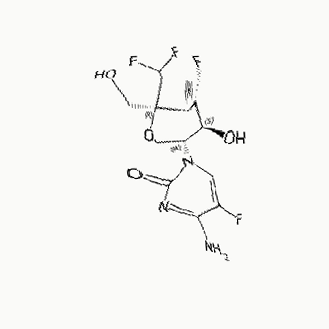 Nc1nc(=O)n([C@@H]2O[C@@](CO)(C(F)F)[C@H](F)[C@H]2O)cc1F